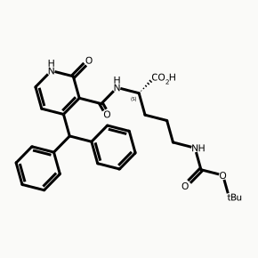 CC(C)(C)OC(=O)NCCC[C@H](NC(=O)c1c(C(c2ccccc2)c2ccccc2)cc[nH]c1=O)C(=O)O